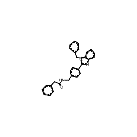 O=C(Cc1ccccc1)NCc1ccc(-c2nc3ccccc3n2Cc2ccccc2)cc1